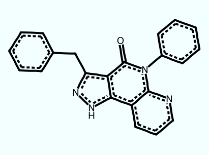 O=c1c2c(Cc3ccccc3)n[nH]c2c2cccnc2n1-c1ccccc1